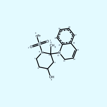 CCCS(=O)(=O)N1CCC(O)CC1(C)N1CC=Cc2ccccc21